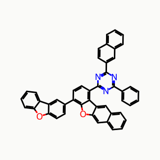 c1ccc(-c2nc(-c3ccc4ccccc4c3)nc(-c3ccc(-c4ccc5oc6ccccc6c5c4)c4oc5cc6ccccc6cc5c34)n2)cc1